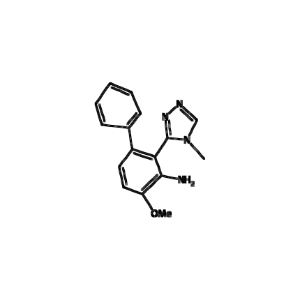 COc1ccc(-c2ccccc2)c(-c2nncn2C)c1N